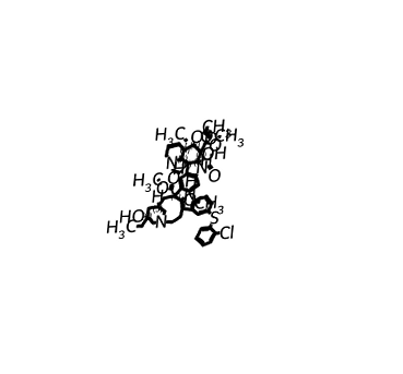 CC[C@]1(O)C[C@H]2CN(CCc3c([nH]c4ccc(Sc5ccccc5Cl)cc34)[C@@](C(=O)OC)(c3cc4c(cc3OC)N(C=O)[C@H]3[C@@](O)(C(=O)OC)[C@H](OC(C)=O)[C@]5(CC)C=CCN6CC[C@]43[C@@H]65)C2)C1